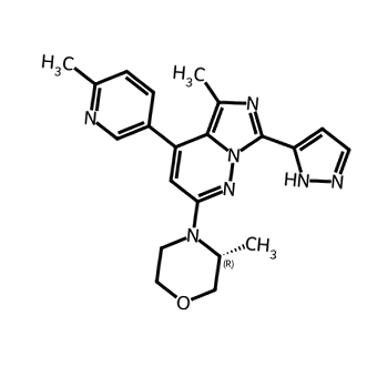 Cc1ccc(-c2cc(N3CCOC[C@H]3C)nn3c(-c4ccn[nH]4)nc(C)c23)cn1